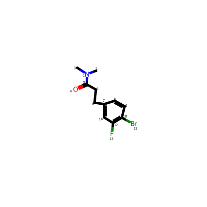 CN(C)C(=O)CCc1ccc(Br)c(F)c1